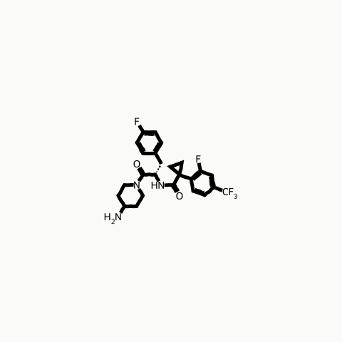 NC1CCN(C(=O)[C@H](Cc2ccc(F)cc2)NC(=O)C2(c3ccc(C(F)(F)F)cc3F)CC2)CC1